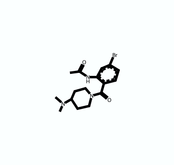 CC(=O)Nc1cc(Br)ccc1C(=O)N1CCC(N(C)C)CC1